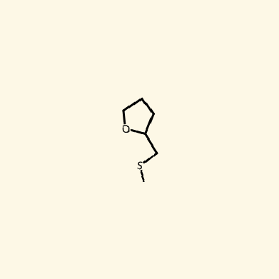 CSCC1CCCO1